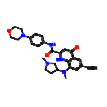 COc1cc(N(C)C2CCN(C)C2)c2[nH]c(C(=O)Nc3ccc(N4CCOCC4)cc3)cc(=O)c2c1